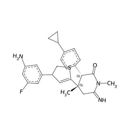 CN1C(=N)C[C@](C)(C2=CC(c3cc(N)cc(F)c3)CS2)[C@H](c2ccc(C3CC3)cc2)C1=O